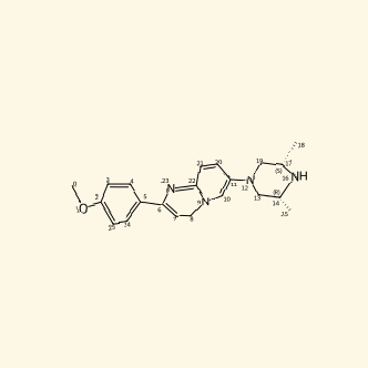 COc1ccc(C2=CCN3C=C(N4C[C@@H](C)N[C@@H](C)C4)C=CC3=N2)cc1